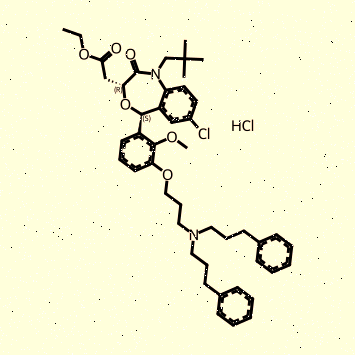 CCOC(=O)C[C@H]1O[C@H](c2cccc(OCCCN(CCCc3ccccc3)CCCc3ccccc3)c2OC)c2cc(Cl)ccc2N(CC(C)(C)C)C1=O.Cl